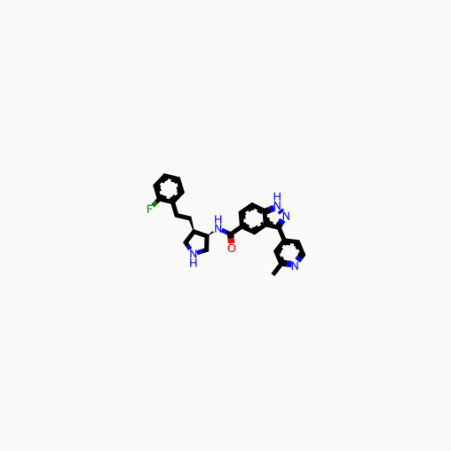 Cc1cc(-c2n[nH]c3ccc(C(=O)N[C@@H]4CNC[C@H]4CCc4ccccc4F)cc23)ccn1